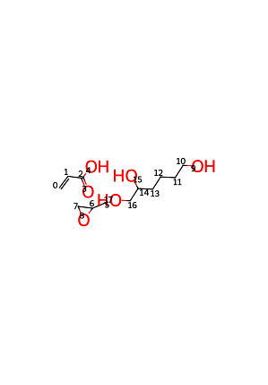 C=CC(=O)O.CC1CO1.OCCCCC(O)CO